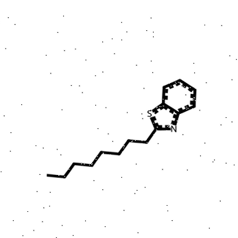 CCCCCCCCc1nc2ccccc2s1